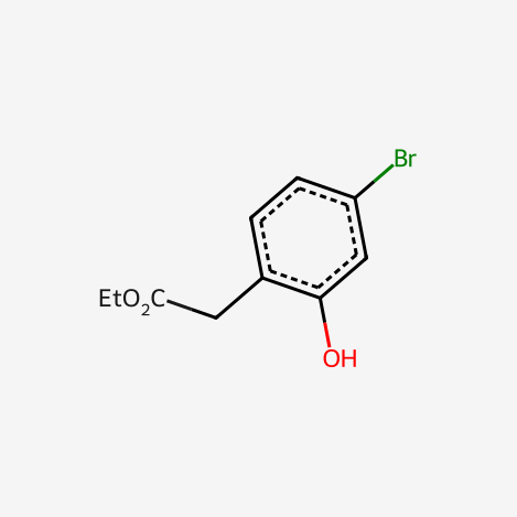 CCOC(=O)Cc1ccc(Br)cc1O